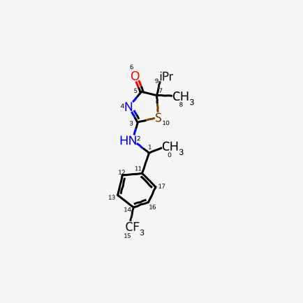 CC(NC1=NC(=O)C(C)(C(C)C)S1)c1ccc(C(F)(F)F)cc1